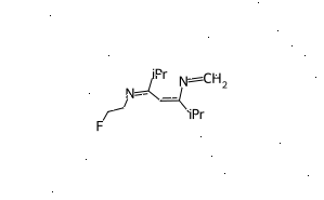 C=N/C(=C\C(=N/CCF)C(C)C)C(C)C